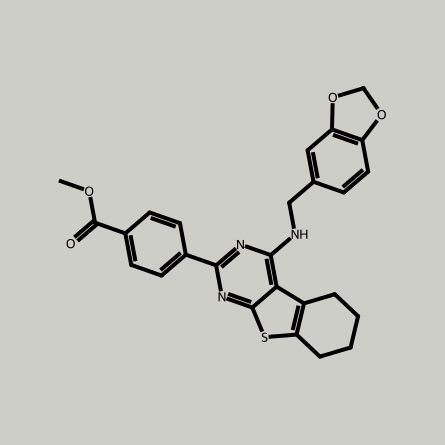 COC(=O)c1ccc(-c2nc(NCc3ccc4c(c3)OCO4)c3c4c(sc3n2)CCCC4)cc1